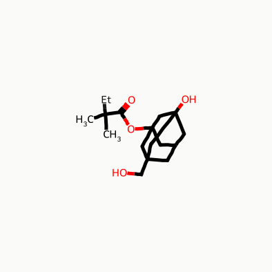 CCC(C)(C)C(=O)OC12CC3CC(O)(CC(CO)(C3)C1)C2